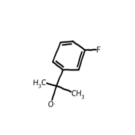 CC(C)([O])c1cccc(F)c1